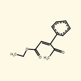 CCOC(=O)C=C(C(C)=O)c1ccccc1